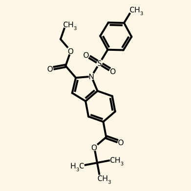 CCOC(=O)c1cc2cc(C(=O)OC(C)(C)C)ccc2n1S(=O)(=O)c1ccc(C)cc1